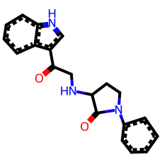 O=C(CNC1CCN(c2ccccc2)C1=O)c1c[nH]c2ccccc12